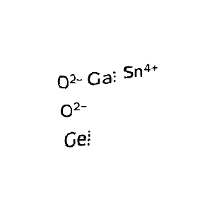 [Ga].[Ge].[O-2].[O-2].[Sn+4]